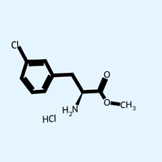 COC(=O)[C@@H](N)Cc1cccc(Cl)c1.Cl